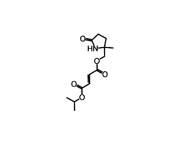 CC(C)OC(=O)/C=C/C(=O)OCC1(C)CCC(=O)N1